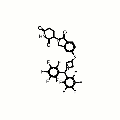 O=C1CCC(N2Cc3cc(SC4CN(C(c5c(F)c(F)c(F)c(F)c5F)c5c(F)c(F)c(F)c(F)c5F)C4)ccc3C2=O)C(=O)N1